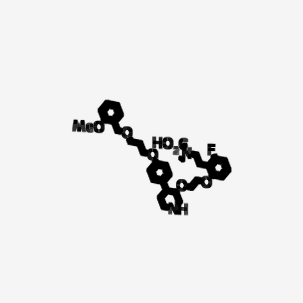 COc1ccccc1COCCCOc1ccc(C2CCNCC2OCCOc2cccc(F)c2CCN(C)C(=O)O)cc1